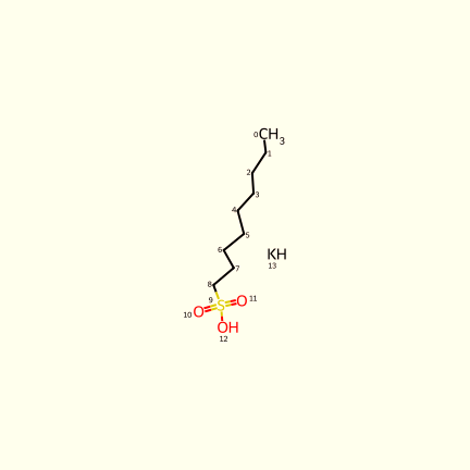 CCCCCCCCCS(=O)(=O)O.[KH]